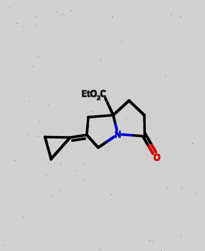 CCOC(=O)C12CCC(=O)N1CC(=C1CC1)C2